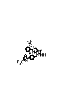 Cn1cc(C(F)(F)F)nc1-c1ccc(Cn2c(=N)n(C)c3cnc(-c4c(F)cccc4OC(F)F)nc32)cc1